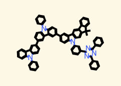 CC1(C)c2ccccc2-c2cc3c4cc(-c5ccc6c(c5)c5cc(-c7ccc8c(c7)c7ccccc7n8-c7ccccc7)ccc5n6-c5ccccc5)ccc4n(-c4cccc(-c5nc(-c6ccccc6)nc(-c6ccccc6)n5)c4)c3cc21